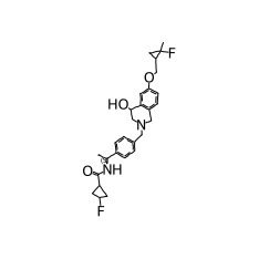 C[C@H](NC(=O)C1CC(F)C1)c1ccc(CN2Cc3ccc(OCC4CC4(C)F)cc3C(O)C2)cc1